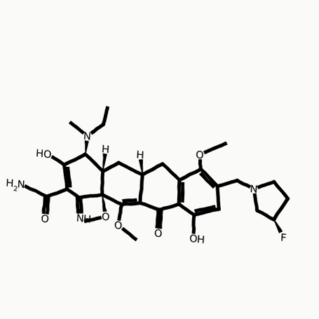 CCN(C)[C@@H]1C(O)=C(C(N)=O)C(=N)[C@@]2(OC)C(OC)=C3C(=O)c4c(O)cc(CN5CC[C@@H](F)C5)c(OC)c4C[C@H]3C[C@@H]12